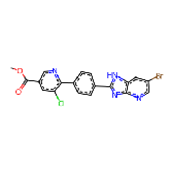 COC(=O)c1cnc(-c2ccc(-c3nc4ncc(Br)cc4[nH]3)cc2)c(Cl)c1